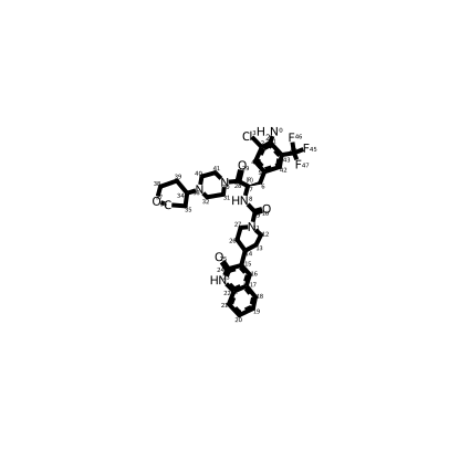 Nc1c(Cl)cc(C[C@@H](NC(=O)N2CCC(c3cc4ccccc4[nH]c3=O)CC2)C(=O)N2CCN(C3CCOCC3)CC2)cc1C(F)(F)F